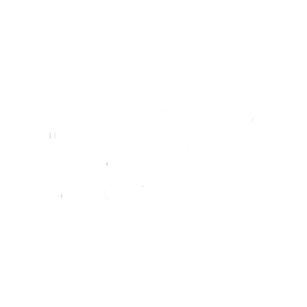 CC[Si](CC)(CC)OC1(CCS(=O)(=O)c2ccccc2)CCCC1